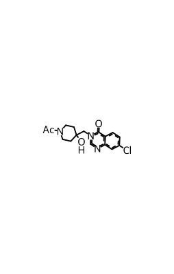 CC(=O)N1CCC(O)(Cn2cnc3cc(Cl)ccc3c2=O)CC1